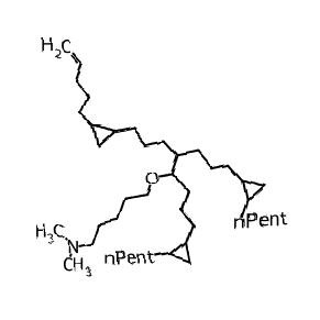 C=CCCCC1CC1CCCC(CCCC1CC1CCCCC)C(CCCC1CC1CCCCC)OCCCCCN(C)C